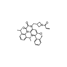 C=CC(=O)N1CC(Cn2c(=O)c(=O)n(-c3c(C(C)C)cccc3C(C)C)c3nc(-c4ccccc4F)c(Cl)cc32)C1